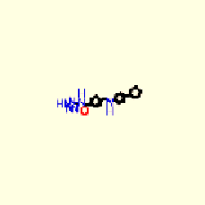 O=C(Nc1nn[nH]n1)c1ccc(CNc2ccc(C3CCCCC3)cc2)cc1